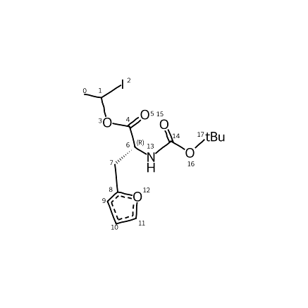 CC(I)OC(=O)[C@@H](Cc1ccco1)NC(=O)OC(C)(C)C